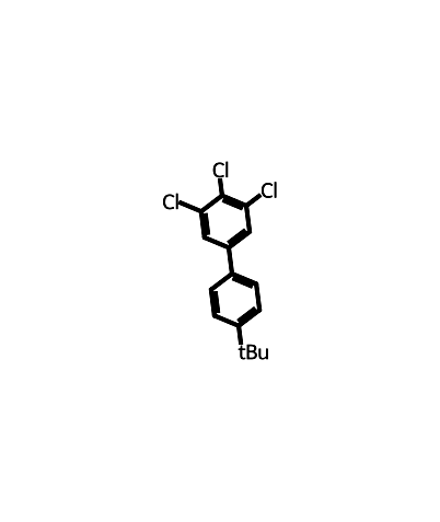 CC(C)(C)c1ccc(-c2cc(Cl)c(Cl)c(Cl)c2)cc1